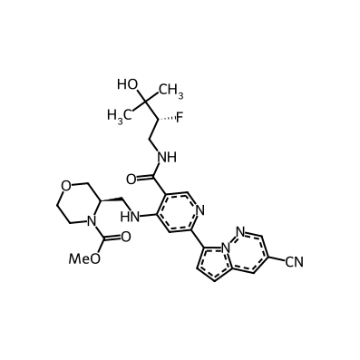 COC(=O)N1CCOC[C@H]1CNc1cc(-c2ccc3cc(C#N)cnn23)ncc1C(=O)NC[C@@H](F)C(C)(C)O